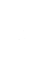 CCN(C(=O)CC(C)=O)c1ccccc1